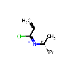 C=C/C(Cl)=N\[C@H](C)C(C)C